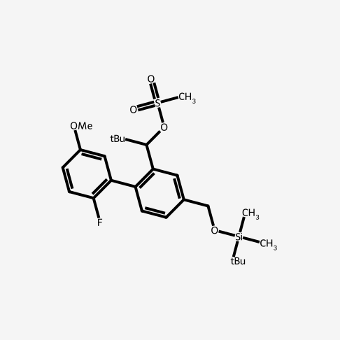 COc1ccc(F)c(-c2ccc(CO[Si](C)(C)C(C)(C)C)cc2C(OS(C)(=O)=O)C(C)(C)C)c1